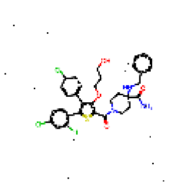 NC(=O)C1(NCc2ccccc2)CCN(C(=O)c2sc(-c3ccc(Cl)cc3Cl)c(C3=CCC(Cl)C=C3)c2OCCCO)CC1